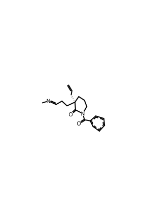 C=CC[C@]1(CC/C=N/C)CCCN(C(=O)c2ccccc2)C1=O